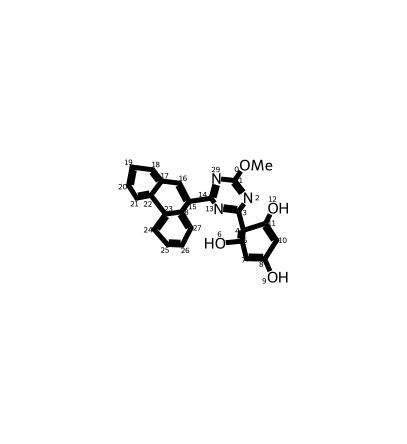 COc1nc(-c2c(O)cc(O)cc2O)nc(-c2cc3ccccc3c3ccccc23)n1